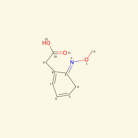 CON=C1CC=CC=C1CC(=O)O